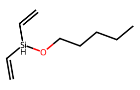 C=C[SiH](C=C)OCCCCC